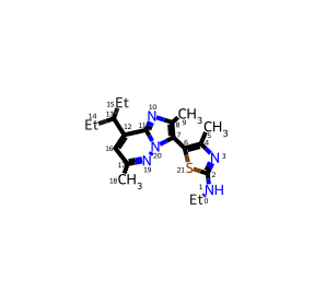 CCNc1nc(C)c(-c2c(C)nc3c(C(CC)CC)cc(C)nn23)s1